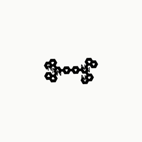 c1ccc2c(-c3nc(-c4ccc(-c5ccc(-c6cc(-c7cccc8cccnc78)nc(-c7cccc8ccccc78)n6)cc5)cc4)cc(-c4cccc5cccnc45)n3)cccc2c1